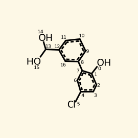 Oc1ccc(Cl)cc1-c1cccc(C(O)O)c1